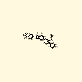 Cn1c(-c2ccc(S(C)(=O)=O)cc2)nc2cc(C3CCN(C4CCNCC4)[C@H](CC4CC4)C3)cc(F)c21